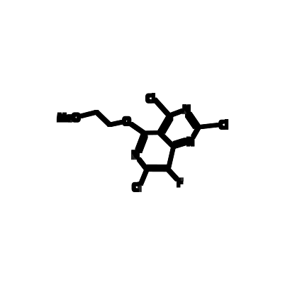 COCCOc1nc(Cl)c(F)c2nc(Cl)nc(Cl)c12